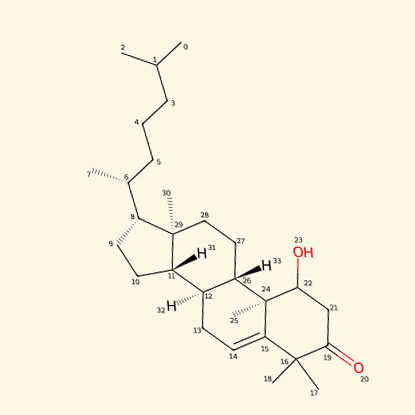 CC(C)CCC[C@@H](C)[C@H]1CC[C@H]2[C@@H]3CC=C4C(C)(C)C(=O)CC(O)[C@]4(C)[C@H]3CC[C@]12C